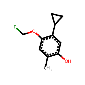 Cc1cc(OCF)c(C2CC2)cc1O